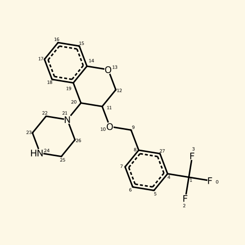 FC(F)(F)c1cccc(COC2COc3ccccc3C2N2CCNCC2)c1